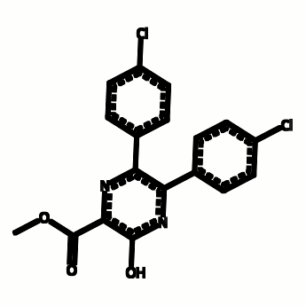 COC(=O)c1nc(-c2ccc(Cl)cc2)c(-c2ccc(Cl)cc2)nc1O